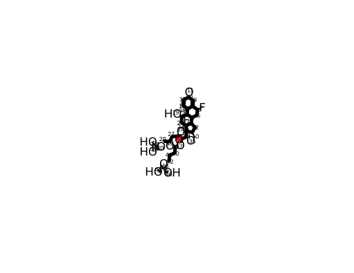 C[C@@H]1CC2C3C[C@H](F)C4=CC(=O)C=C[C@]4(C)[C@@]3(F)[C@@H](O)C[C@]2(C)[C@@]1(OC(=O)CCCON(O)O)C(=O)COC(=O)CCCON(O)O